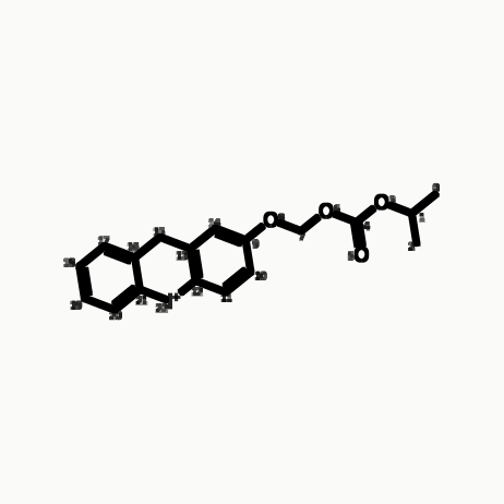 CC(C)OC(=O)OCOc1ccc2c(c1)Cc1ccccc1[I+]2